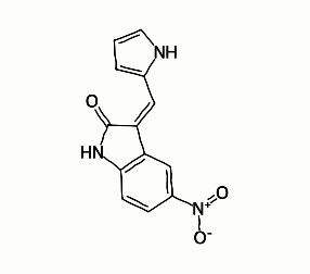 O=C1Nc2ccc([N+](=O)[O-])cc2C1=Cc1ccc[nH]1